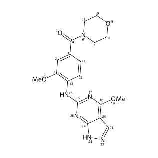 COc1cc(C(=O)N2CCOCC2)ccc1Nc1nc(OC)c2cn[nH]c2n1